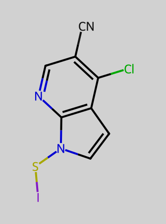 N#Cc1cnc2c(ccn2SI)c1Cl